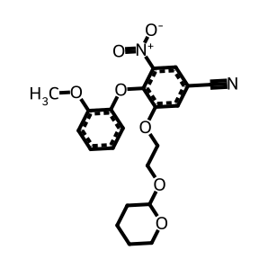 COc1ccccc1Oc1c(OCCOC2CCCCO2)cc(C#N)cc1[N+](=O)[O-]